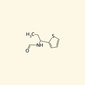 CCC(NC=O)c1cccs1